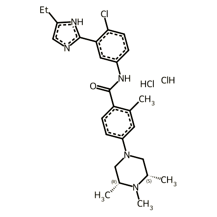 CCc1cnc(-c2cc(NC(=O)c3ccc(N4C[C@@H](C)N(C)[C@@H](C)C4)cc3C)ccc2Cl)[nH]1.Cl.Cl